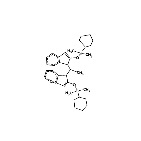 CC(C1C(O[Si](C)(C)C2CCCCC2)=Cc2ccccc21)C1C(O[Si](C)(C)C2CCCCC2)=Cc2ccccc21